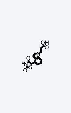 CN1C(=O)SC(c2cccc3c2ccn3CCC(=O)O)C1=O